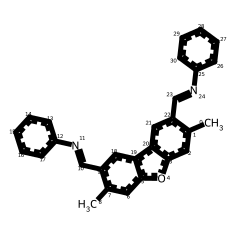 Cc1cc2oc3cc(C)c(/C=N/c4ccccc4)cc3c2cc1/C=N/c1ccccc1